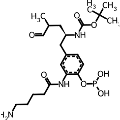 CC(C=O)C[C@H](Cc1ccc(OP(O)O)c(NC(=O)CCCCN)c1)NC(=O)OC(C)(C)C